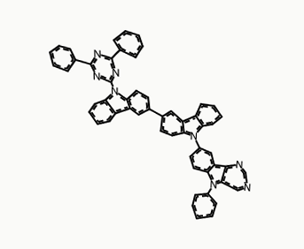 c1ccc(-c2nc(-c3ccccc3)nc(-n3c4ccccc4c4cc(-c5ccc6c(c5)c5ccccc5n6-c5ccc6c(c5)c5ncncc5n6-c5ccccc5)ccc43)n2)cc1